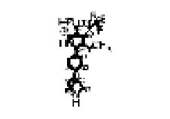 CCc1c(-c2ccc(N3CC4CC3CN4)cc2)[nH]c(=O)c(C(=O)O)c1OC(=O)C(F)(F)F